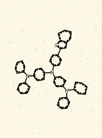 c1ccc(N(c2ccccc2)c2ccc(N(c3ccc(-c4cc5ccccc5s4)cc3)c3ccc(N(c4ccccc4)c4ccccc4)cc3)cc2)cc1